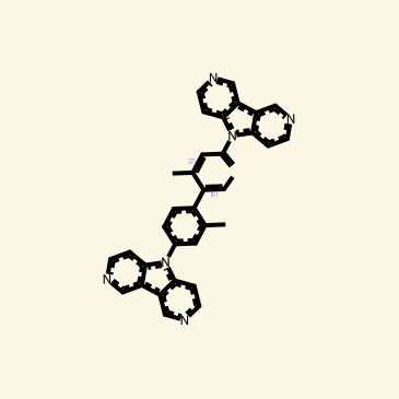 C=C(/C=C(C)\C(=C/C)c1ccc(-n2c3ccncc3c3cnccc32)cc1C)n1c2ccncc2c2cnccc21